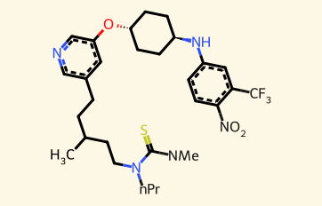 CCCN(CCC(C)CCc1cncc(O[C@H]2CC[C@H](Nc3ccc([N+](=O)[O-])c(C(F)(F)F)c3)CC2)c1)C(=S)NC